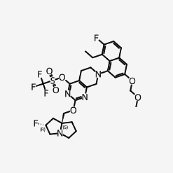 CCc1c(F)ccc2cc(OCOC)cc(N3CCc4c(nc(OC[C@@]56CCCN5C[C@H](F)C6)nc4OS(=O)(=O)C(F)(F)F)C3)c12